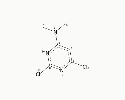 CN(C)c1cc(Cl)nc(Cl)n1